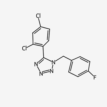 Fc1ccc(Cn2nnnc2-c2ccc(Cl)cc2Cl)cc1